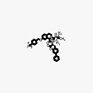 CC(C)(C)NC(=O)N1CCc2ccc(OCc3ccc(C(F)(F)F)cc3)cc2C1C(=O)N[C@@H](Cc1ccc(-c2ccccc2)cc1)C(=O)O